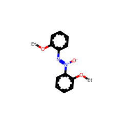 CCOc1ccccc1N=[N+]([O-])c1ccccc1OCC